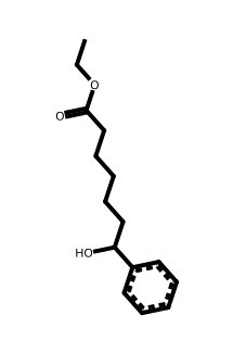 CCOC(=O)CCCCCC(O)c1ccccc1